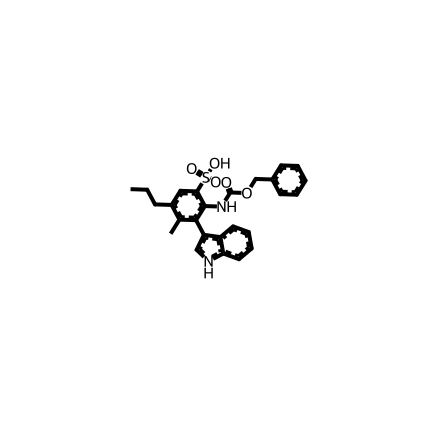 CCCc1cc(S(=O)(=O)O)c(NC(=O)OCc2ccccc2)c(-c2c[nH]c3ccccc23)c1C